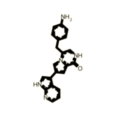 Nc1ccc(Cc2c[nH]c(=O)c3cc(-c4c[nH]c5ncccc45)cn23)cc1